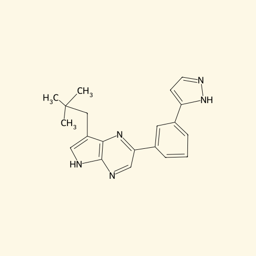 CC(C)(C)Cc1c[nH]c2ncc(-c3cccc(-c4ccn[nH]4)c3)nc12